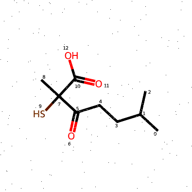 CC(C)CCC(=O)C(C)(S)C(=O)O